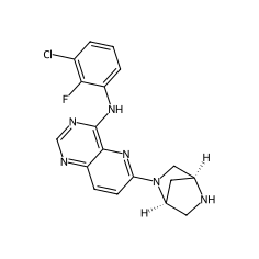 Fc1c(Cl)cccc1Nc1ncnc2ccc(N3C[C@@H]4C[C@H]3CN4)nc12